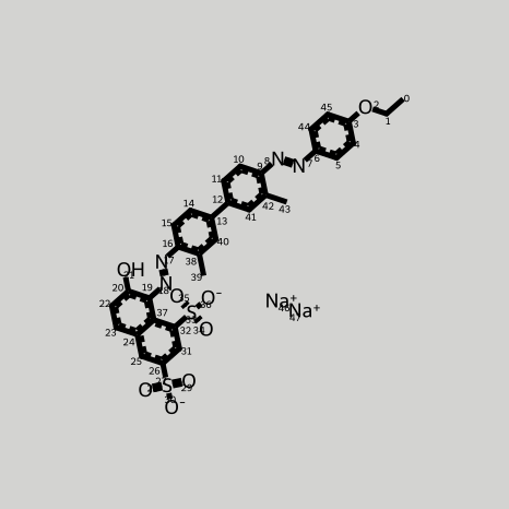 CCOc1ccc(N=Nc2ccc(-c3ccc(N=Nc4c(O)ccc5cc(S(=O)(=O)[O-])cc(S(=O)(=O)[O-])c45)c(C)c3)cc2C)cc1.[Na+].[Na+]